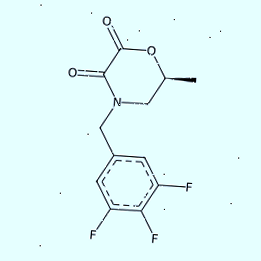 C[C@H]1CN(Cc2cc(F)c(F)c(F)c2)C(=O)C(=O)O1